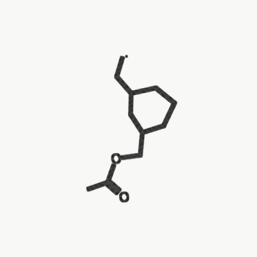 [CH2]CC1CCCC(COC(C)=O)C1